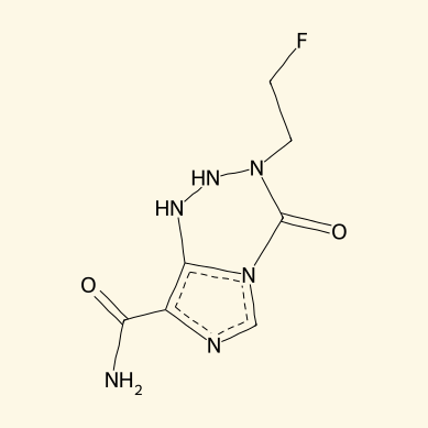 NC(=O)c1ncn2c1NNN(CCF)C2=O